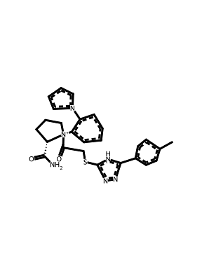 Cc1ccc(-c2nnc(SCC(=O)[N+]3(c4ccccc4-n4cccc4)CCC[C@H]3C(N)=O)[nH]2)cc1